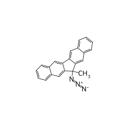 CC1(N=[N+]=[N-])c2cc3ccccc3cc2-c2cc3ccccc3cc21